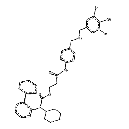 O=C(CCOC(=O)N(c1ccccc1-c1ccccc1)N1CC[CH]CC1)Nc1ccc(CNCc2cc(Br)c(O)c(Br)c2)cc1